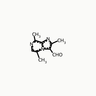 Cc1nc2c(C)ncc(C)n2c1C=O